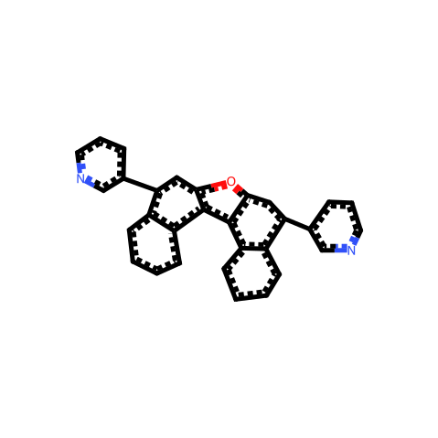 c1cncc(-c2cc3oc4cc(-c5cccnc5)c5ccccc5c4c3c3ccccc23)c1